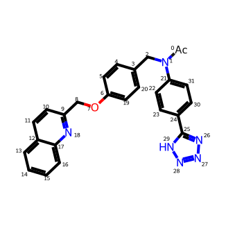 CC(=O)N(Cc1ccc(OCc2ccc3ccccc3n2)cc1)c1ccc(-c2nnn[nH]2)cc1